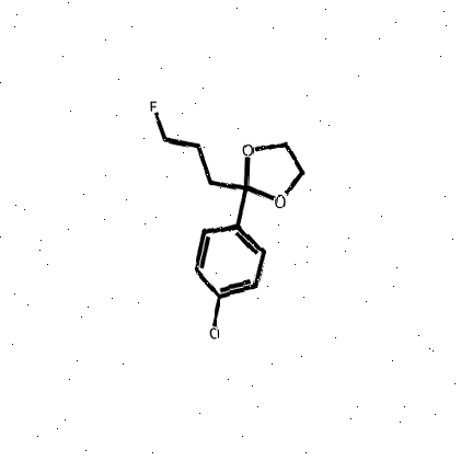 FCCCC1(c2ccc(Cl)cc2)OCCO1